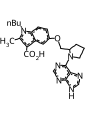 CCCCn1c(C)c(C(=O)O)c2cc(OCC3CCCN3c3ncnc4[nH]cnc34)ccc21